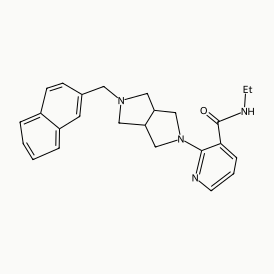 CCNC(=O)c1cccnc1N1CC2CN(Cc3ccc4ccccc4c3)CC2C1